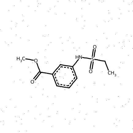 CCS(=O)(=O)Nc1cccc(C(=O)OC)c1